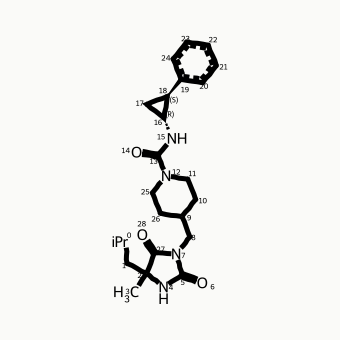 CC(C)CC1(C)NC(=O)N(CC2CCN(C(=O)N[C@@H]3C[C@H]3c3ccccc3)CC2)C1=O